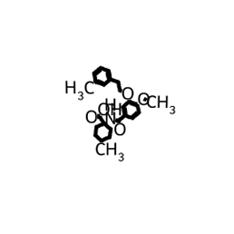 COc1ccc(C(=O)NC2(C(=O)O)CCC(C)CC2)cc1OCCc1cccc(C)c1